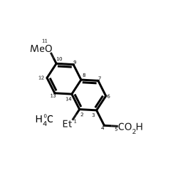 C.CCc1c(CC(=O)O)ccc2cc(OC)ccc12